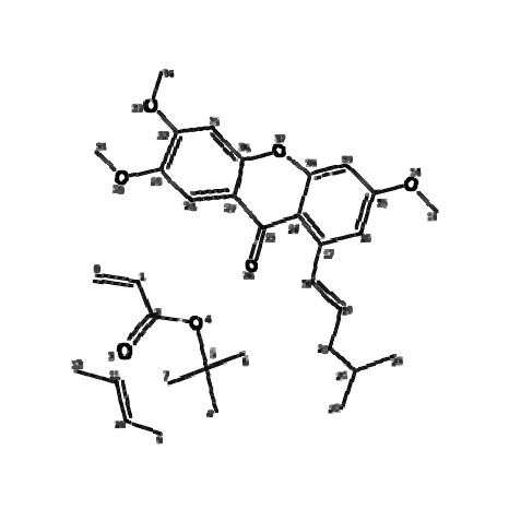 C=CC(=O)OC(C)(C)C.CC=CC.COc1cc(C=CCC(C)C)c2c(=O)c3cc(OC)c(OC)cc3oc2c1